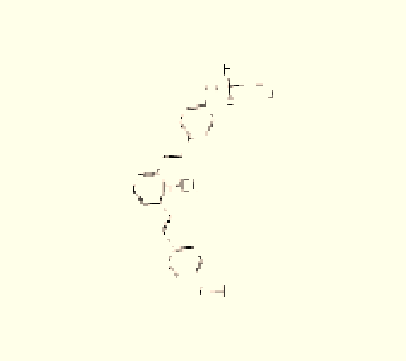 CC[n+]1c(/C=C/c2ccc(O)cc2)cccc1/C=C/c1ccc(OC(C)(F)F)cc1